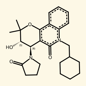 CC1(C)Oc2c(c(=O)n(CC3CCCCC3)c3ccccc23)[C@@H](N2CCCC2=O)[C@@H]1O